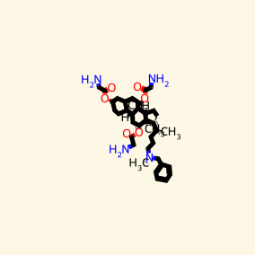 C[C@H](CCCN(C)Cc1ccccc1)[C@H]1CC[C@H]2C3[C@H](OC(=O)CN)CC4C[C@H](OC(=O)CN)CCC4(C)[C@H]3C[C@H](OC(=O)CN)C12C